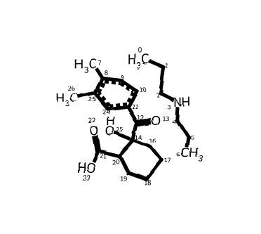 CCCNCCC.Cc1ccc(C(=O)C2(O)CCCCC2C(=O)O)cc1C